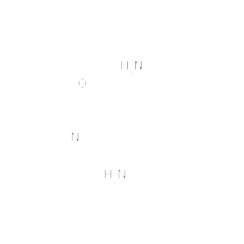 Nc1cccc(N)c1-c1ncco1